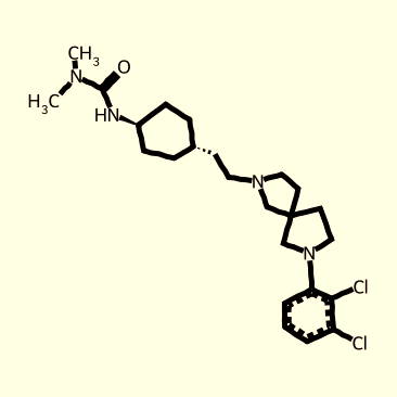 CN(C)C(=O)N[C@H]1CC[C@H](CCN2CCC3(CCN(c4cccc(Cl)c4Cl)C3)C2)CC1